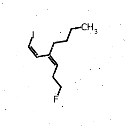 CCCCC(/C=C\I)=C/CCF